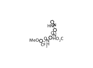 COc1ccc(CC(=O)Nc2ccc(C(=O)N(CC(=O)O)Cc3ccc(-c4nc5ccccc5[nH]4)cc3)cc2)c(C(F)(F)F)c1